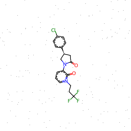 O=C1C[C@H](c2ccc(Cl)cc2)CN1c1cccn(CCC(F)(F)F)c1=O